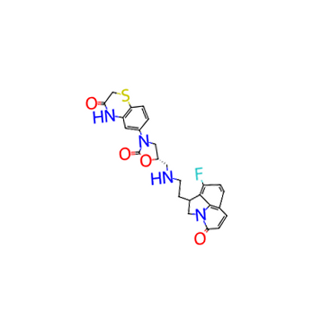 O=C1CSc2ccc(N3C[C@H](CNCCC4Cn5c(=O)ccc6ccc(F)c4c65)OC3=O)cc2N1